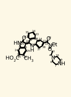 CCN(OCCN1CCNCC1)C(=O)c1ccc(NC(=C2C(=O)Nc3cc(C(=O)O)c(C)cc32)c2ccccc2)cc1